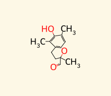 Cc1cc2c(c(C)c1O)CCC(C)(C=O)O2